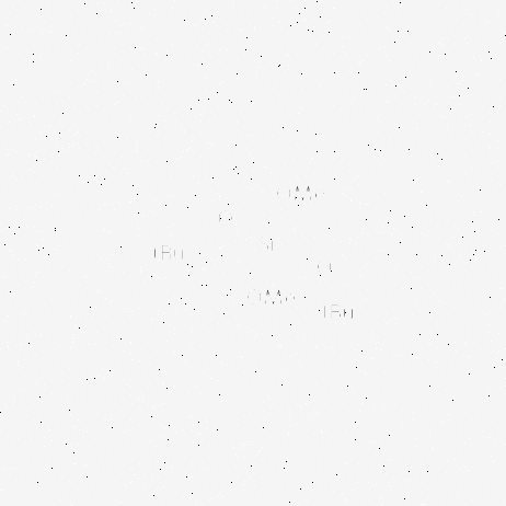 CO[Si](OC)(OC(C)(C)C)OC(C)(C)C